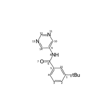 CC(C)(C)c1cccc(C(=O)Nc2cncnc2)c1